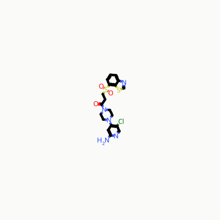 Nc1cc(N2CCN(C(=O)CCS(=O)(=O)c3cccc4ncsc34)CC2)c(Cl)cn1